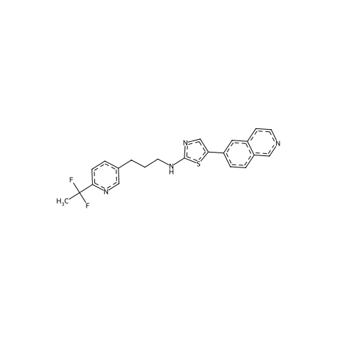 CC(F)(F)c1ccc(CCCNc2ncc(-c3ccc4cnccc4c3)s2)cn1